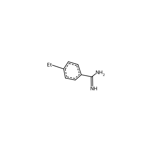 [CH2]Cc1ccc(C(=N)N)cc1